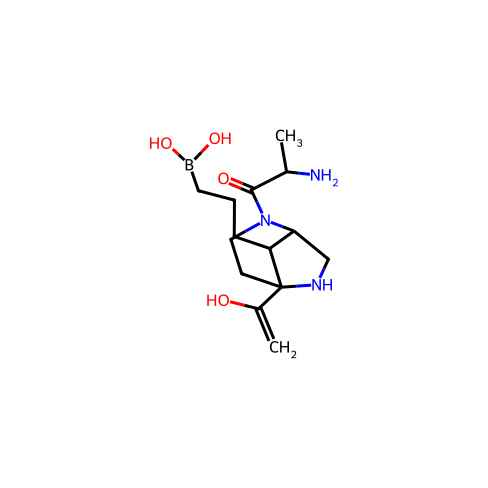 C=C(O)C12CCN(C(=O)C(C)N)C(CN1)C2CCCB(O)O